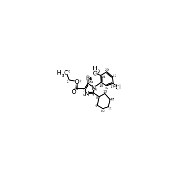 CCOC(=O)c1nc(C2CCCCC2)n(-c2cc(Cl)ccc2C)c1Br